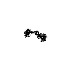 COc1cc(C(=O)NC2CCN(CCCOc3cccc4c3C(=O)C(=C(C)C)O4)CC2)cc(OC)c1OC